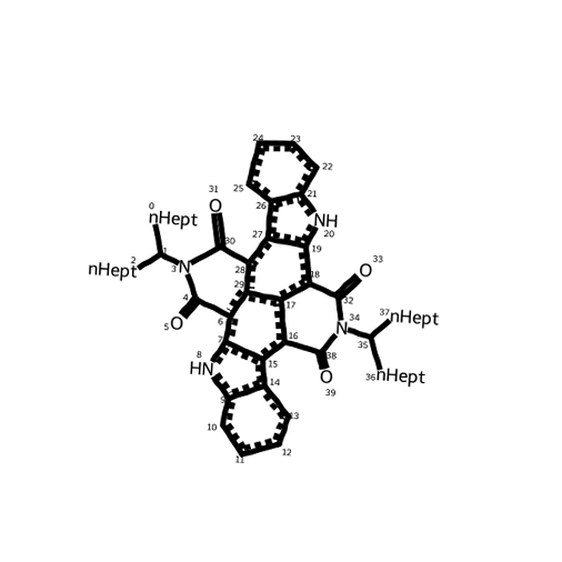 CCCCCCCC(CCCCCCC)N1C(=O)c2c3[nH]c4ccccc4c3c3c4c(c5[nH]c6ccccc6c5c(c24)C1=O)C(=O)N(C(CCCCCCC)CCCCCCC)C3=O